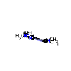 CCN(CC)c1ccc(/C=C/C=C/C=C/c2cc[n+](CCC[N+](CC)(CC)CC)cc2)cc1